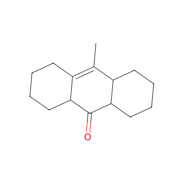 CC1=C2CCCCC2C(=O)C2CCCCC12